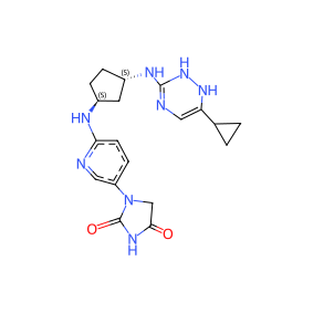 O=C1CN(c2ccc(N[C@H]3CC[C@H](NC4=NC=C(C5CC5)NN4)C3)nc2)C(=O)N1